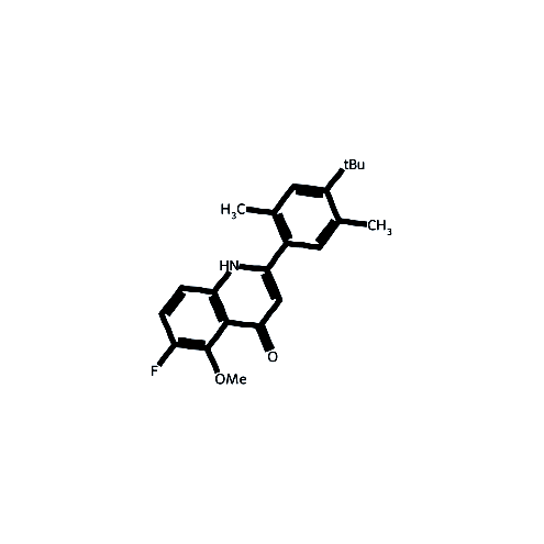 COc1c(F)ccc2[nH]c(-c3cc(C)c(C(C)(C)C)cc3C)cc(=O)c12